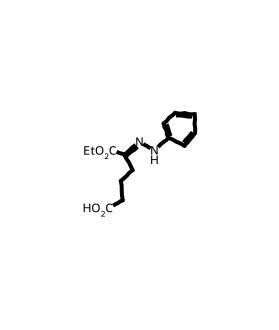 CCOC(=O)C(CCCC(=O)O)=NNc1ccccc1